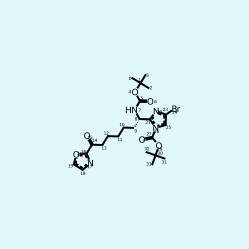 CC(C)(C)OC(=O)N[C@@H](CCCCCC(=O)c1ncco1)c1nc(Br)cn1C(=O)OC(C)(C)C